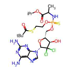 CC(C)OC(=O)C(C)NP(=S)(OCCSC(=O)C(C)(C)C)OC[C@H]1O[C@@H](n2cnc3c(N)nc(N)nc32)C(Cl)(Cl)[C@@H]1O